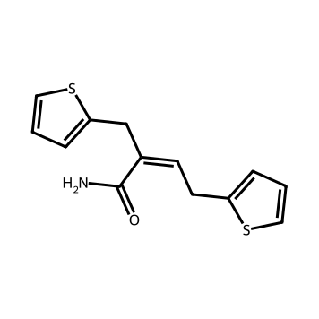 NC(=O)C(=CCc1cccs1)Cc1cccs1